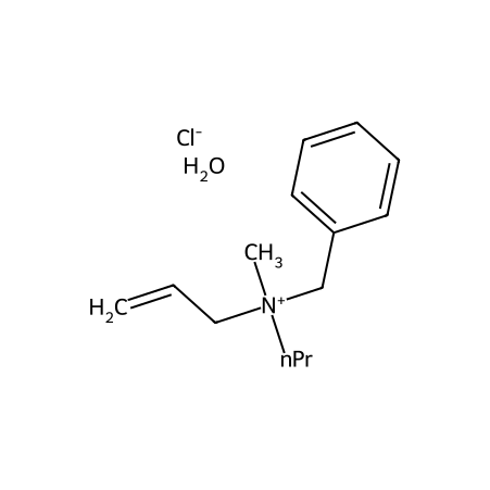 C=CC[N+](C)(CCC)Cc1ccccc1.O.[Cl-]